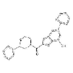 O=C(c1cc2nc(-c3ccccn3)nc(O)c2s1)N1CCOC(c2ccccc2)C1